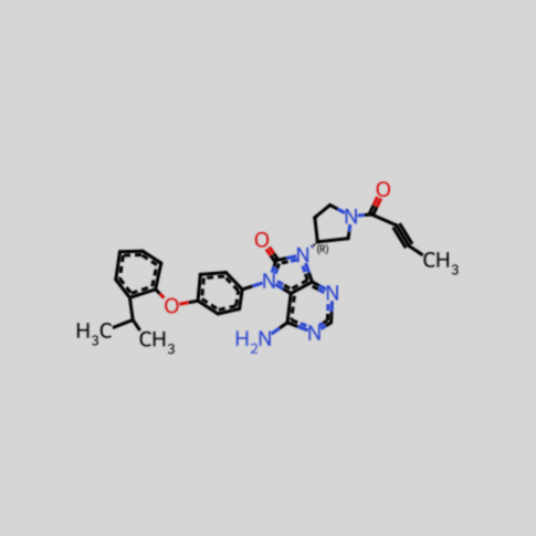 CC#CC(=O)N1CC[C@@H](n2c(=O)n(-c3ccc(Oc4ccccc4C(C)C)cc3)c3c(N)ncnc32)C1